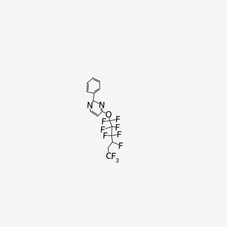 FC(CC(F)(F)F)C(F)(F)C(F)(F)C(F)(F)Oc1ccnc(-c2ccccc2)n1